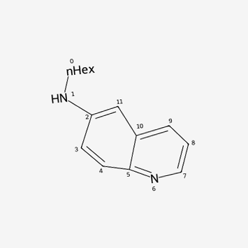 CCCCCCNc1ccc2ncccc2c1